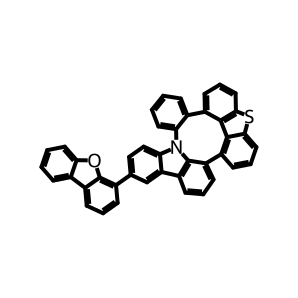 c1ccc2c(c1)oc1c(-c3ccc4c(c3)c3cccc5c6cccc7sc8cccc(c9ccccc9n4c53)c8c76)cccc12